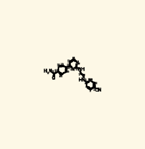 N#Cc1ccc(NCCNc2nccc(-c3ccc(C(N)=O)cc3)n2)nc1